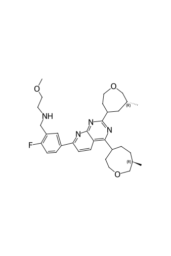 COCCNCc1cc(-c2ccc3c(C4CCOC[C@H](C)CC4)nc(C4CCOC[C@H](C)C4)nc3n2)ccc1F